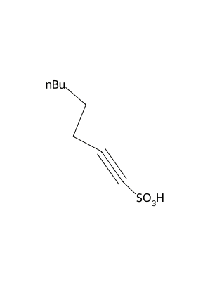 CCCCCCC#CS(=O)(=O)O